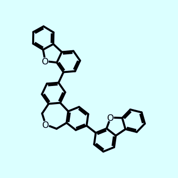 c1ccc2c(c1)oc1c(-c3ccc4c(c3)COCc3ccc(-c5cccc6c5oc5ccccc56)cc3-4)cccc12